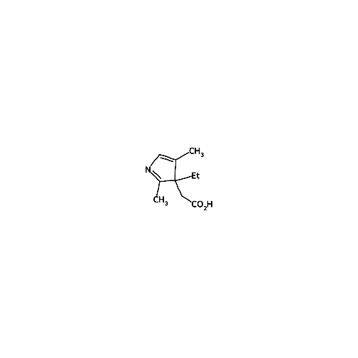 CCC1(CC(=O)O)C(C)=CN=C1C